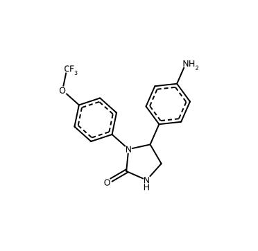 Nc1ccc(C2CNC(=O)N2c2ccc(OC(F)(F)F)cc2)cc1